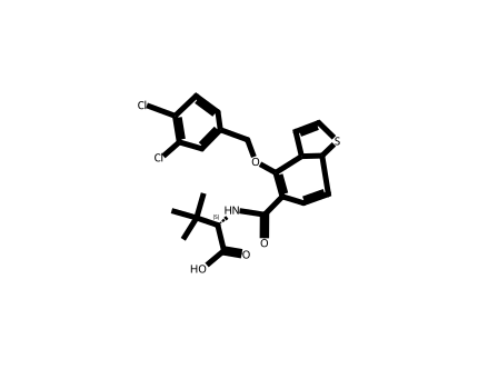 CC(C)(C)[C@H](NC(=O)C1=C(OCc2ccc(Cl)c(Cl)c2)C2C=CSC2C=C1)C(=O)O